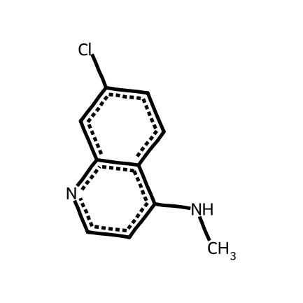 CNc1ccnc2cc(Cl)ccc12